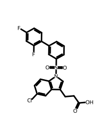 O=C(O)CCc1cn(S(=O)(=O)c2cccc(-c3ccc(F)cc3F)c2)c2ccc(Cl)cc12